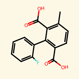 Cc1ccc(C(=O)O)c(-c2ccccc2F)c1C(=O)O